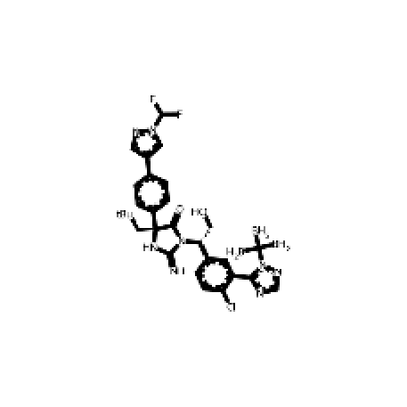 BC(B)(B)n1ncnc1-c1cc([C@@H](CO)N2C(=N)N[C@](CC(C)(C)C)(c3ccc(-c4cnn(C(F)F)c4)cc3)C2=O)ccc1Cl